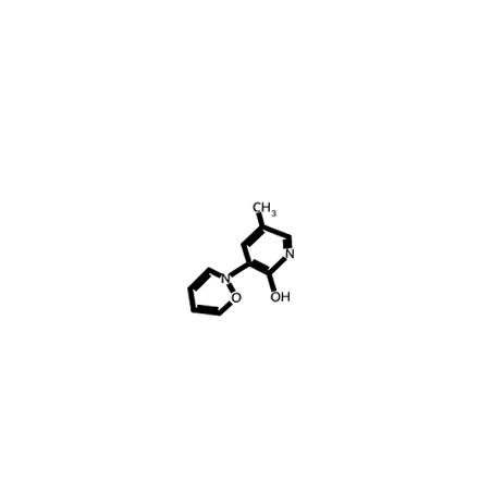 Cc1cnc(O)c(N2C=CC=CO2)c1